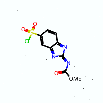 COC(=O)N=C1N=c2ccc(S(=O)(=O)Cl)cc2=N1